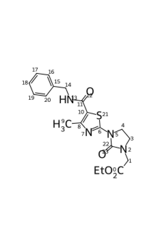 CCOC(=O)CN1CCN(c2nc(C)c(C(=O)NCc3ccccc3)s2)C1=O